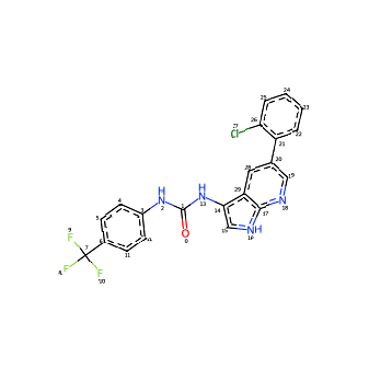 O=C(Nc1ccc(C(F)(F)F)cc1)Nc1c[nH]c2ncc(-c3ccccc3Cl)cc12